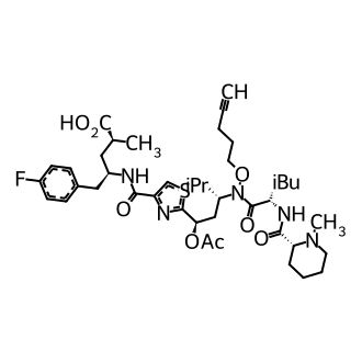 C#CCCCON(C(=O)[C@@H](NC(=O)[C@H]1CCCCN1C)[C@@H](C)CC)[C@H](C[C@@H](OC(C)=O)c1nc(C(=O)N[C@@H](Cc2ccc(F)cc2)C[C@H](C)C(=O)O)cs1)C(C)C